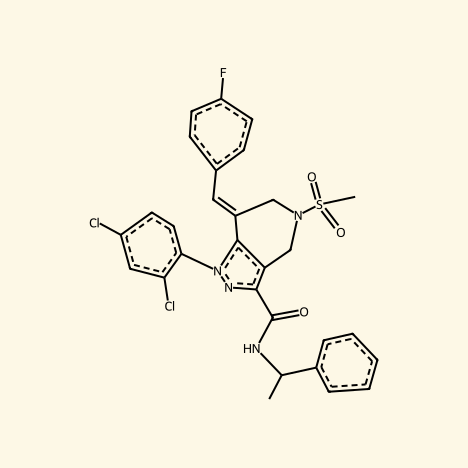 CC(NC(=O)c1nn(-c2ccc(Cl)cc2Cl)c2c1CN(S(C)(=O)=O)CC2=Cc1ccc(F)cc1)c1ccccc1